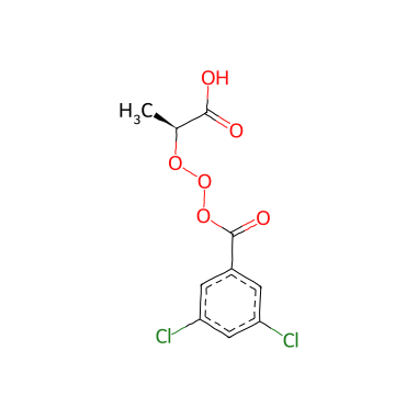 C[C@H](OOOC(=O)c1cc(Cl)cc(Cl)c1)C(=O)O